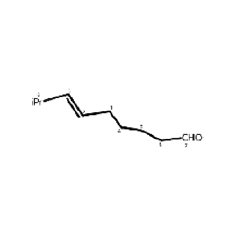 CC(C)C=CCCCC[C]=O